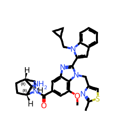 COc1cc(C(=O)N2C[C@H]3CC[C@@H]2[C@@H]3N)cc2nc(-c3cc4ccccc4n3CC3CC3)n(Cc3csc(C)n3)c12